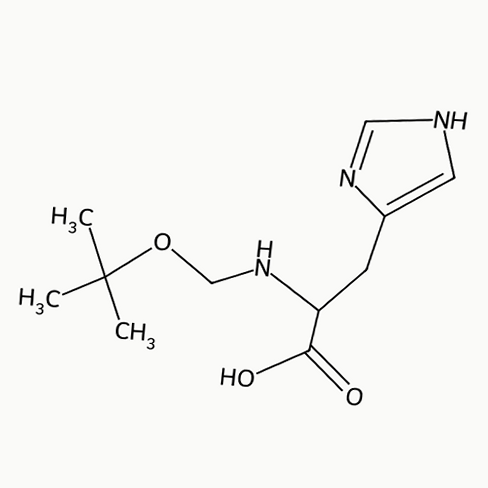 CC(C)(C)OCNC(Cc1c[nH]cn1)C(=O)O